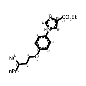 CCCC(C#N)CCOc1ccc(-n2cnc(C(=O)OCC)c2)cc1